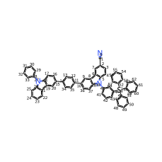 N#Cc1ccc2c(c1)c1cc(-c3ccc(-c4ccc5c(c4)c4ccccc4n5-c4ccccc4)cc3)ccc1n2-c1cccc([Si](c2ccccc2)(c2ccccc2)c2ccccc2)c1